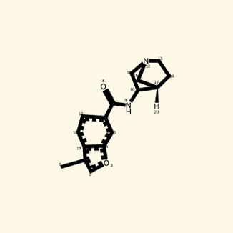 Cc1coc2cc(C(=O)NC3CN4CC[C@H]3C4)ccc12